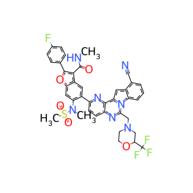 CNC(=O)c1c(-c2ccc(F)cc2)oc2cc(N(C)S(C)(=O)=O)c(-c3ccc4nc(CN5CCOC(C(F)(F)F)C5)n5c6cccc(C#N)c6cc5c4n3)cc12